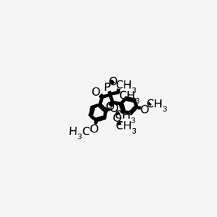 COc1ccc(C(=O)C(P=O)(C(=O)c2ccc(OC)cc2OC)C(C)C)c(OC)c1